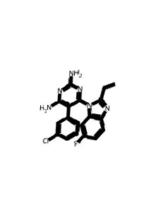 CCc1nc2ccc(F)cc2n1-c1nc(N)nc(N)c1-c1cccc(Cl)c1